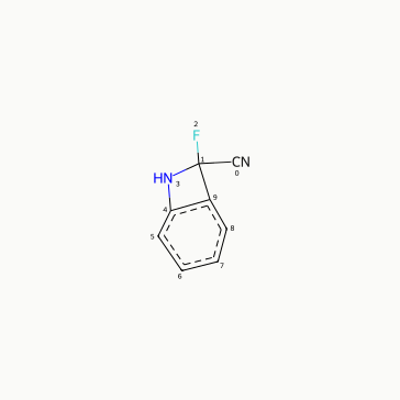 N#CC1(F)Nc2ccccc21